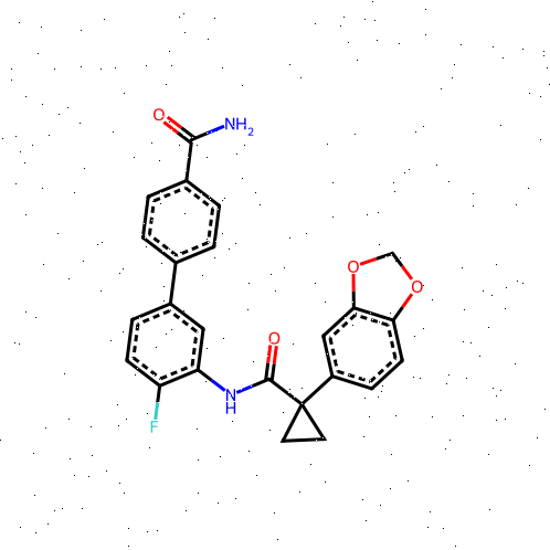 NC(=O)c1ccc(-c2ccc(F)c(NC(=O)C3(c4ccc5c(c4)OCO5)CC3)c2)cc1